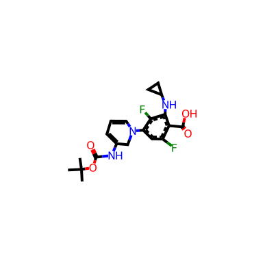 CC(C)(C)OC(=O)NC1=CC=CN(c2cc(F)c(C(=O)O)c(NC3CC3)c2F)C1